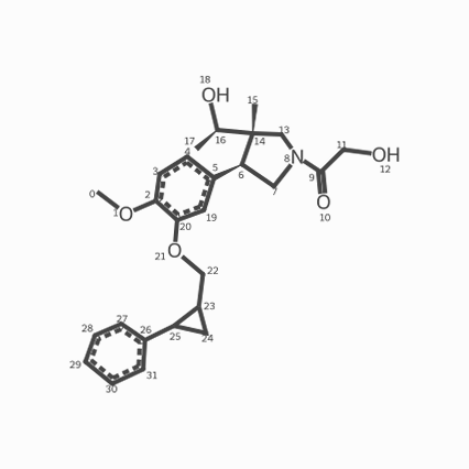 COc1ccc([C@@H]2CN(C(=O)CO)C[C@@]2(C)[C@@H](C)O)cc1OCC1CC1c1ccccc1